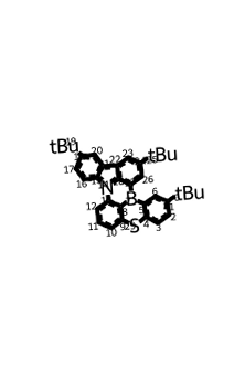 CC(C)(C)c1ccc2c(c1)B1c3c(cccc3-n3c4ccc(C(C)(C)C)cc4c4cc(C(C)(C)C)cc1c43)S2